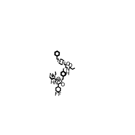 CCC(=O)N[C@H](Cc1ccc(CNC(=O)[C@@H](NC(=O)c2ccnn2CC)C2CCC(F)(F)CC2)cc1)C(=O)N1CCN(Cc2ccccc2)CC1